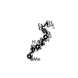 CCC(CCN(C)C)C(=O)N1CCN(C(=O)c2ccc(NC(=O)c3ncc(-c4ccc(-c5cn(CCc6cccc(OC)n6)nc5C)c(F)c4F)n3C)cc2Cl)CC1